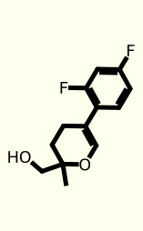 CC1(CO)CCC(c2ccc(F)cc2F)=CO1